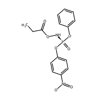 CCC(=O)ON[P@](=O)(Oc1ccccc1)Oc1ccc([N+](=O)[O-])cc1